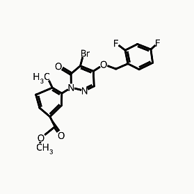 COC(=O)c1ccc(C)c(-n2ncc(OCc3ccc(F)cc3F)c(Br)c2=O)c1